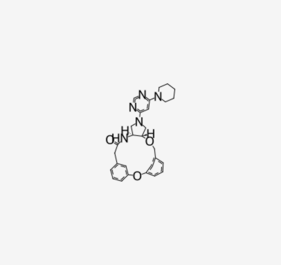 O=C1Cc2cccc(c2)Oc2cccc(c2)CO[C@H]2CN(c3cc(N4CCCCC4)ncn3)C[C@@H]2N1